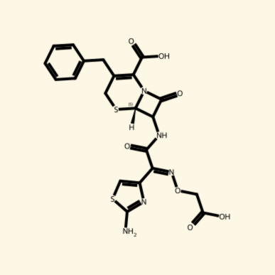 Nc1nc(C(=NOCC(=O)O)C(=O)NC2C(=O)N3C(C(=O)O)=C(Cc4ccccc4)CS[C@@H]23)cs1